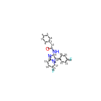 O=C(Cc1ccccc1)Nc1nc2ccc(F)cn2c1-c1ccc(F)cc1